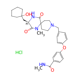 CNC(=O)c1ccc(Oc2ccc(CN3CCC4(CC3)C(=O)N[C@H](CC3(O)CCCCC3)C(=O)N4C)cc2)cc1.Cl